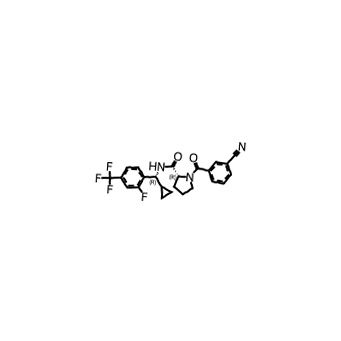 N#Cc1cccc(C(=O)N2CCC[C@@H]2C(=O)N[C@@H](c2ccc(C(F)(F)F)cc2F)C2CC2)c1